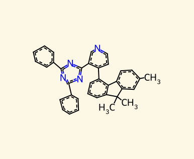 Cc1ccc2c(c1)C(C)(C)c1cccc(-c3ccncc3-c3nc(-c4ccccc4)nc(-c4ccccc4)n3)c1-2